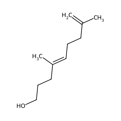 C=C(C)CC/C=C(\C)CCCO